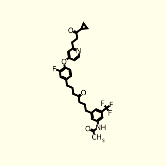 CC(=O)Nc1cc(CCCC(=O)CCCc2ccc(Oc3ccnc(CCC(=O)C4CC4)c3)c(F)c2)cc(C(F)(F)F)c1